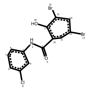 O=C(Nc1cccc(Cl)c1)c1cc(Br)cc(Br)c1O